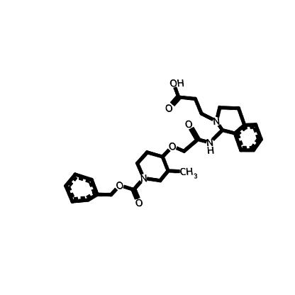 CC1CN(C(=O)OCc2ccccc2)CCC1OCC(=O)NC1c2ccccc2CCN1CCC(=O)O